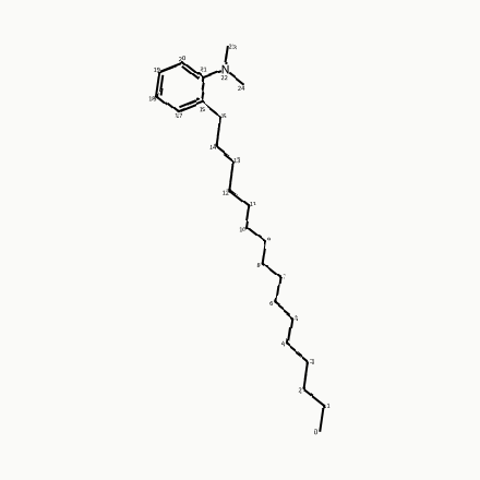 CCCCCCCCCCCCCCCCc1ccccc1N(C)C